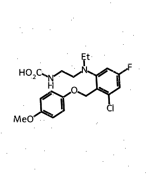 CCN(CCNC(=O)O)c1cc(F)cc(Cl)c1COc1ccc(OC)cc1